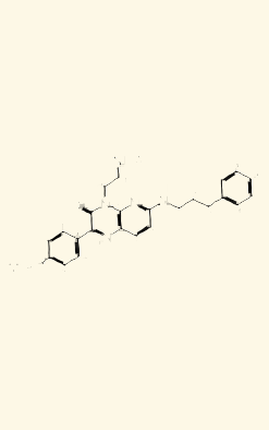 COc1ccc(-c2nc3ccc(NCCCc4ccccc4)nc3n(CCNC(C)=O)c2=O)cc1